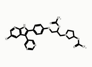 O=C(OC1CCN(CC(COc2ccc(-c3[nH]c4ncc(Cl)cc4c3-c3cncnc3)cc2)OC(=O)C(F)(F)F)C1)C(F)(F)F